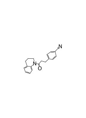 N#Cc1ccc(CCC(=O)N2CCCc3ccccc32)cc1